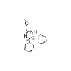 COCC1=N[C@@H](C2C=CC=CC2)[C@@H](c2ccccc2)N1